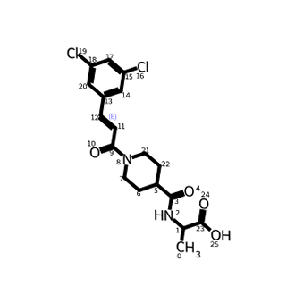 CC(NC(=O)C1CCN(C(=O)/C=C/c2cc(Cl)cc(Cl)c2)CC1)C(=O)O